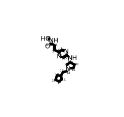 O=C(C=Cc1cnc(N[C@@H]2CCN(CCC3CCCC3)C2)cn1)NO